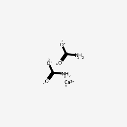 NC(=O)[O-].NC(=O)[O-].[Ca+2]